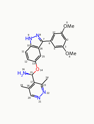 COc1cc(OC)cc(-c2n[nH]c3ccc(O[C@H](N)c4c(C)cnnc4C)cc23)c1